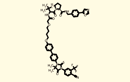 CC(C)(C)C(NC(=O)COCCCCOc1ccc(-c2ccc(N3C(=S)N(c4ccc(C#N)c(C(F)(F)F)c4)C(=O)C3(C)C)cc2)cc1)C(=O)N1CCC[C@H]1C(=O)NCc1ccc(-c2cnco2)cc1